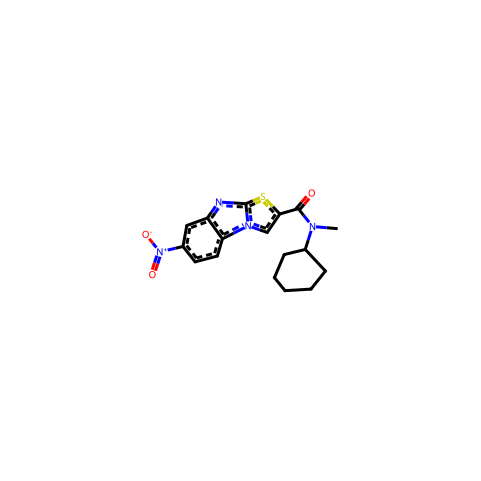 CN(C(=O)c1cn2c(nc3cc([N+](=O)[O-])ccc32)s1)C1CCCCC1